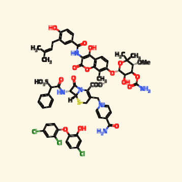 CO[C@@H]1[C@@H](OC(N)=O)[C@@H](O)[C@H](Oc2ccc3c(O)c(NC(=O)c4ccc(O)c(CC=C(C)C)c4)c(=O)oc3c2C)OC1(C)C.NC(=O)c1cc[n+](CC2=C(C(=O)[O-])N3C(=O)[C@@H](NC(=O)C(c4ccccc4)S(=O)(=O)O)[C@H]3SC2)cc1.Oc1cc(Cl)ccc1Oc1ccc(Cl)cc1Cl